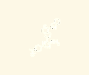 C[S+]([O-])N1CCC(c2cnc(N)c(-c3ccc(C(=O)NCc4ccccc4)c(F)c3)n2)CC1